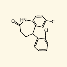 O=C1CCC(c2ccccc2Cl)c2cc(Cl)ccc2N1